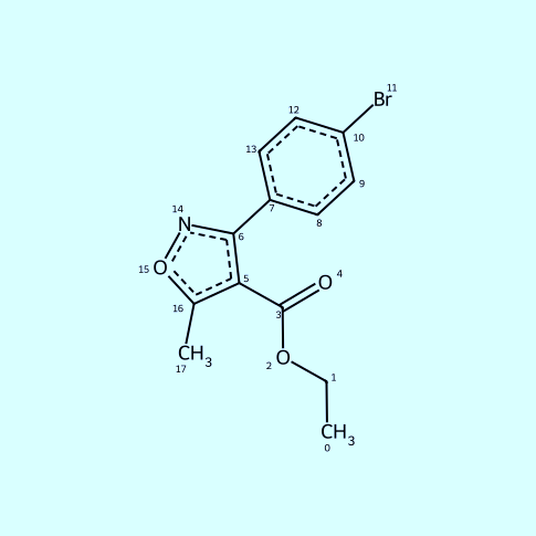 CCOC(=O)c1c(-c2ccc(Br)cc2)noc1C